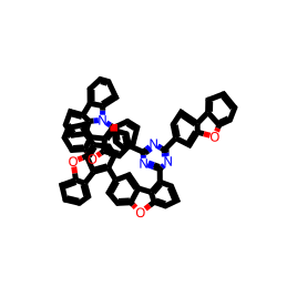 c1ccc(-n2c3ccccc3c3cccc(-c4ccc(-c5ccc6oc7cccc(-c8nc(-c9ccc%10c(c9)oc9ccccc9%10)nc(-c9ccc%10c(c9)oc9ccccc9%10)n8)c7c6c5)c5c4oc4ccccc45)c32)cc1